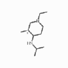 CCN1CCC(NC(C)C)[C@@H](C)C1